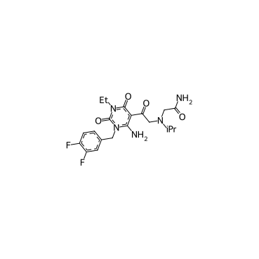 CCn1c(=O)c(C(=O)CN(CC(N)=O)C(C)C)c(N)n(Cc2ccc(F)c(F)c2)c1=O